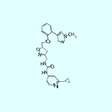 Cn1cc(-c2ccccc2OCC2CC(CNC(=O)Nc3ccnc(C4CC4)c3)=NO2)cn1